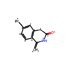 C=C1NC(=O)Cc2cc(C(C)C)ccc21